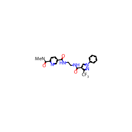 CNC(=O)c1ccc(C(=O)NCCNC(=O)c2cn(-c3ccccc3)nc2C(F)(F)F)cn1